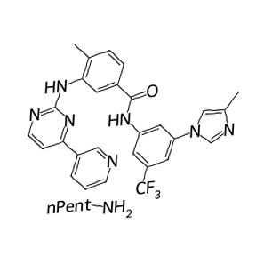 CCCCCN.Cc1cn(-c2cc(NC(=O)c3ccc(C)c(Nc4nccc(-c5cccnc5)n4)c3)cc(C(F)(F)F)c2)cn1